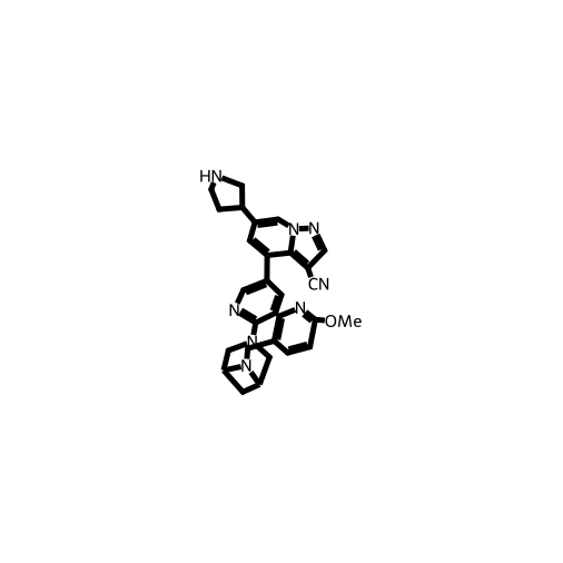 COc1ccc(CN2C3CC2CN(c2ccc(-c4cc(C5CCNC5)cn5ncc(C#N)c45)cn2)C3)cn1